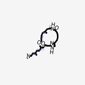 CC(/C=C/C(C)=C/[C@@H]1Cc2nc(c[nH]2)CCCCC(=O)N[C@@H](C)C/C(C)=C/C=C\C(=O)O1)=C\CN(C)C